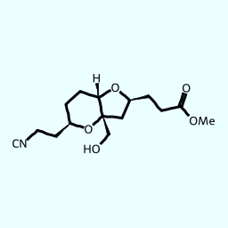 [C-]#[N+]CC[C@H]1CC[C@@H]2O[C@@H](CCC(=O)OC)C[C@]2(CO)O1